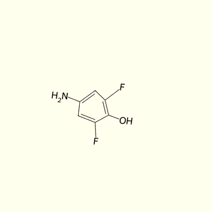 Nc1cc(F)c(O)c(F)c1